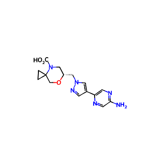 Nc1cnc(-c2cnn(C[C@H]3CN(C(=O)O)C4(CC4)CO3)c2)cn1